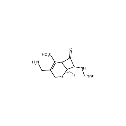 CCCCCNC1C(=O)N2C(C(=O)O)=C(CN)CS[C@H]12